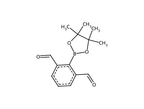 CC1(C)OB(c2c(C=O)cccc2C=O)OC1(C)C